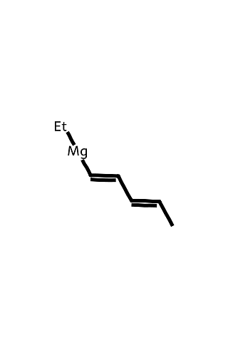 CC=CC=[CH][Mg][CH2]C